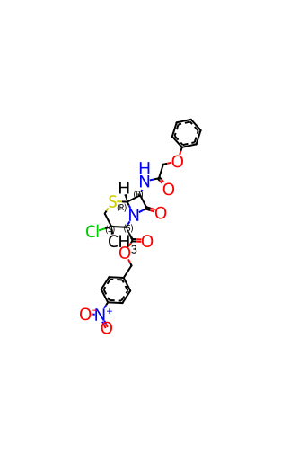 C[C@@]1(Cl)CS[C@@H]2[C@H](NC(=O)COc3ccccc3)C(=O)N2[C@H]1C(=O)OCc1ccc([N+](=O)[O-])cc1